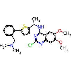 COc1cc2nc(Cl)nc(NC(C)c3ccc(-c4ccccc4CN(C)C)s3)c2cc1OC